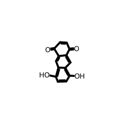 O=C1C=CC(=O)c2cc3c(O)ccc(O)c3cc21